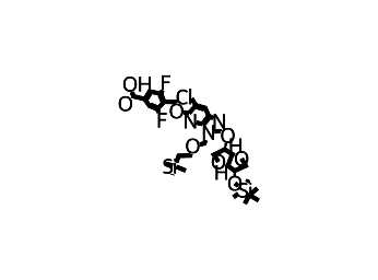 CC(C)(C)[Si](C)(C)O[C@@H]1CO[C@H]2[C@@H]1OC[C@H]2Oc1nc2cc(Cl)c(OCc3c(F)cc(C(=O)O)cc3F)nc2n1COCC[Si](C)(C)C